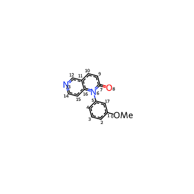 COc1cccc(-n2c(=O)ccc3cnccc32)c1